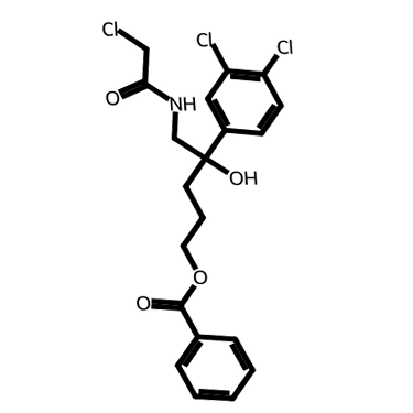 O=C(CCl)NCC(O)(CCCOC(=O)c1ccccc1)c1ccc(Cl)c(Cl)c1